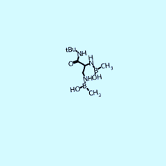 CB(O)NCC(NB(C)O)C(=O)NC(C)(C)C